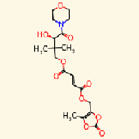 Cc1oc(=O)oc1COC(=O)/C=C/C(=O)OCC(C)(C)[C@@H](O)C(=O)N1CCOCC1